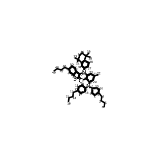 CCCCc1ccc(N(c2ccc(CCCC)cc2)c2cc(C)cc(N(c3ccc4c(c3)C(C)(C)CCC4(C)C)c3csc4cc(CCCC)ccc34)c2Cl)cc1